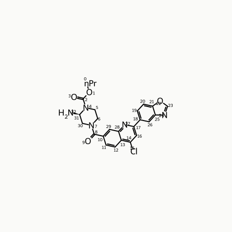 CCCOC(=O)N1CCN(C(=O)c2ccc3c(Cl)cc(-c4ccc5ocnc5c4)nc3c2)C[C@H]1N